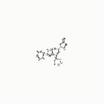 Brc1cn(-c2cc(N3CCOCC3)n3nc(-c4ccncc4)cc3n2)cn1